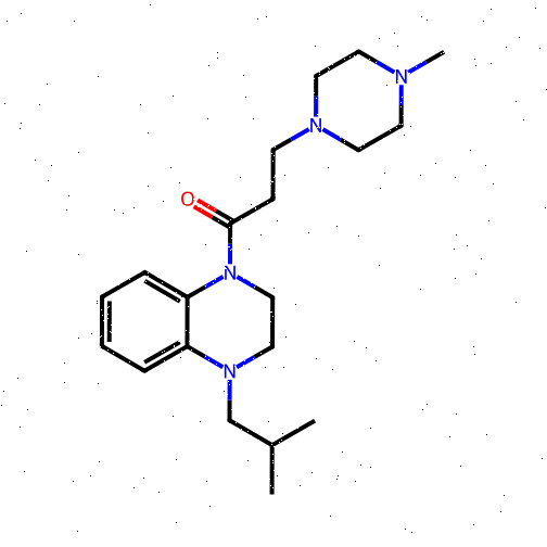 CC(C)CN1CCN(C(=O)CCN2CCN(C)CC2)c2ccccc21